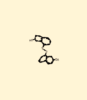 Oc1ccc2cccc(SSc3cccc4ccc(O)cc34)c2c1